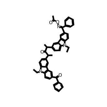 CCn1c2ccc(C(=O)c3ccccc3)cc2c2cc(C(C)C(=O)C(C)c3ccc4c(c3)c3cc(C(=NOC(C)=O)c5ccccc5)ccc3n4CC)ccc21